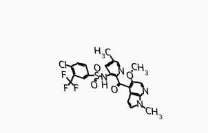 COc1cnc2c(ccn2C)c1C(=O)c1ncc(C)cc1NS(=O)(=O)c1ccc(Cl)c(C(F)(F)F)c1